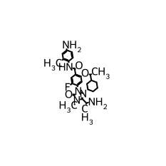 Cc1cc(N)ccc1NC(=O)c1cc(F)c(-n2nc(C(C)N)n(C)c2=O)cc1OC(C)C1CCCCC1